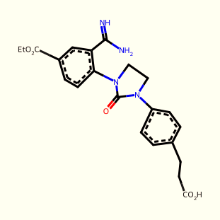 CCOC(=O)c1ccc(N2CCN(c3ccc(CCC(=O)O)cc3)C2=O)c(C(=N)N)c1